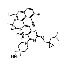 C#Cc1c(F)ccc2cc(O)cc(C3=Cc4nc(OCC5(CN(C)C)CC5)nc(N5CCC6(CC5)CNC6)c4S(=O)(=O)N3C3CC3(F)F)c12